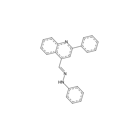 C(=NNc1ccccc1)c1cc(-c2ccccc2)nc2ccccc12